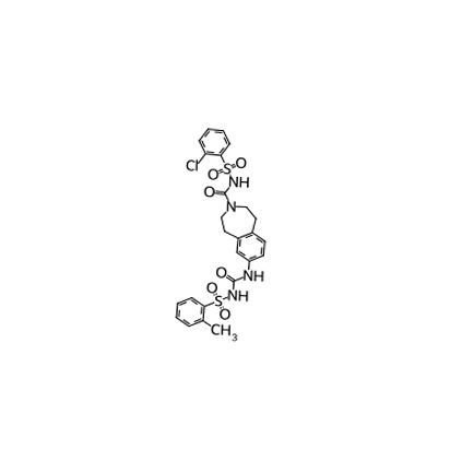 Cc1ccccc1S(=O)(=O)NC(=O)Nc1ccc2c(c1)CCN(C(=O)NS(=O)(=O)c1ccccc1Cl)CC2